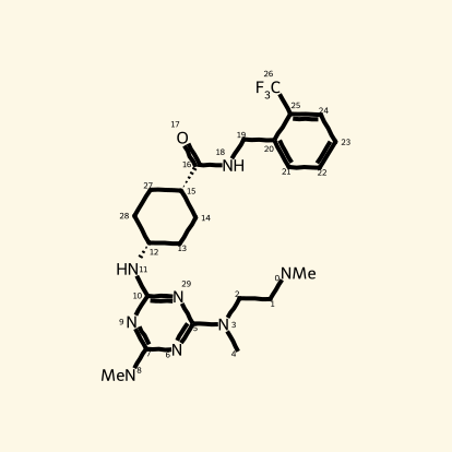 CNCCN(C)c1nc(NC)nc(N[C@H]2CC[C@@H](C(=O)NCc3ccccc3C(F)(F)F)CC2)n1